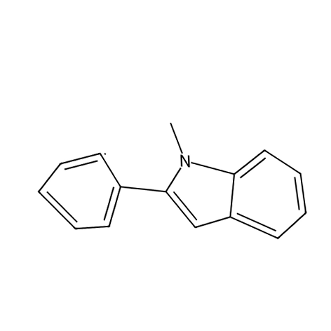 Cn1c(-c2[c]cccc2)cc2ccccc21